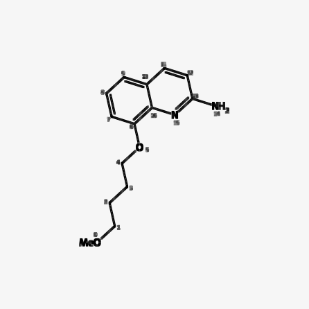 COCCCCOc1cccc2ccc(N)nc12